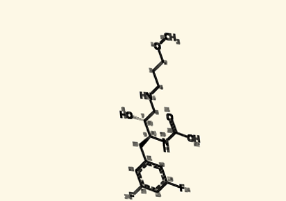 COCCCNC[C@@H](O)[C@H](Cc1cc(F)cc(F)c1)NC(=O)O